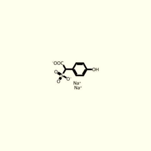 O=C([O-])C(c1ccc(O)cc1)S(=O)(=O)[O-].[Na+].[Na+]